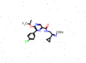 CO/N=C(\CNC(=O)c1cnc(OC(C)C(F)(F)F)c(-c2ccc(Cl)cc2)n1)C1CC1